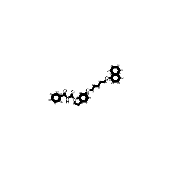 O=C(NC(=S)N1CCc2ccc(OCCCCCOc3cccc4ccccc34)cc21)c1ccccc1